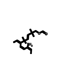 BC(/C=C\C(=C/C)C(C)(C)/C=C/C(C)(C)COC=O)=C/C